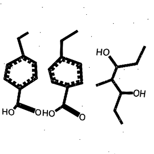 CCC(O)C(C)C(O)CC.CCc1ccc(C(=O)O)cc1.CCc1ccc(C(=O)O)cc1